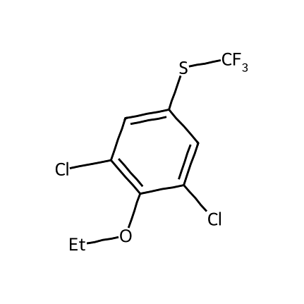 [CH2]COc1c(Cl)cc(SC(F)(F)F)cc1Cl